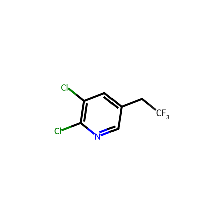 FC(F)(F)Cc1cnc(Cl)c(Cl)c1